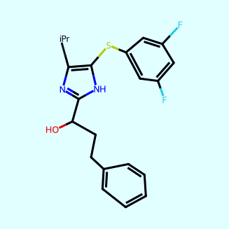 CC(C)c1nc(C(O)CCc2ccccc2)[nH]c1Sc1cc(F)cc(F)c1